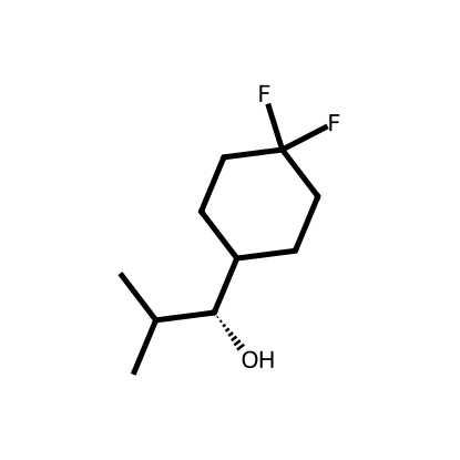 CC(C)[C@@H](O)C1CCC(F)(F)CC1